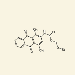 CCOCOC(CC)Nc1cc(O)c2c(c1O)C(=O)c1ccccc1C2=O